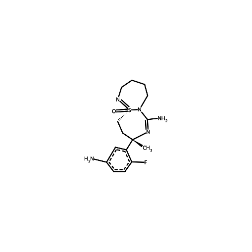 C[C@@]1(c2cc(N)ccc2F)CC[S@]2(=O)=NCCCCN2C(N)=N1